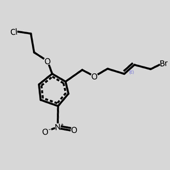 O=[N+]([O-])c1ccc(OCCCl)c(COC/C=C/CBr)c1